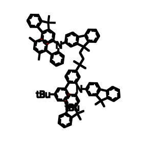 Cc1cc(C)c(-c2ccccc2N(c2ccc3c(c2)C(C)(C)c2ccccc2-3)c2ccc3c(c2)C(C)(CCC(C)(C)c2ccc(-c4cc(C(C)(C)C)cc(C(C)(C)C)c4)c(N(c4ccc5c(c4)C(C)(C)c4ccccc4-5)c4ccc5c(c4)C(C)(C)c4ccccc4-5)c2)c2ccccc2-3)c(C)c1